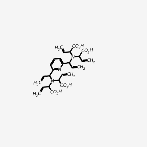 C=CC(C(=O)O)N(C(C=C)C(=O)O)C(C=C)c1cccc(C(C=C)N(C(C=C)C(=O)O)C(C=C)C(=O)O)n1